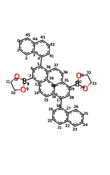 c1ccc2c(-c3cc(B4OCCO4)c4ccc5c(-c6cccc7ccccc67)cc(B6OCCO6)c6ccc3c4c65)cccc2c1